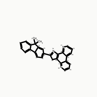 CC1(C)c2ccccc2-c2ccc(C3=Nc4c(c5ncccc5c5cccnc45)C3)cc21